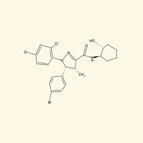 C[C@H]1C(C(=O)N[C@@H]2CCCC[C@H]2O)=NN(c2ccc(Cl)cc2Cl)[C@H]1c1ccc(Br)cc1